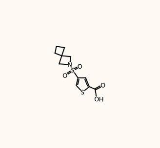 O=C(O)c1cc(S(=O)(=O)N2CC3(CCC3)C2)cs1